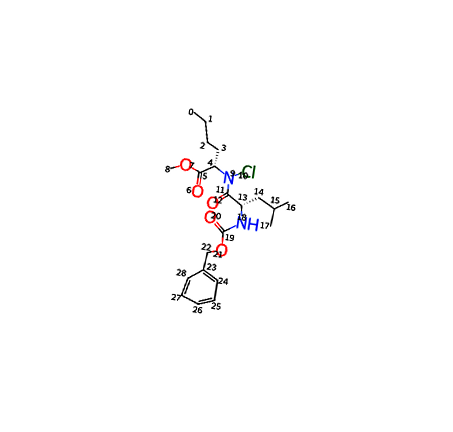 CCCC[C@@H](C(=O)OC)N(Cl)C(=O)[C@H](CC(C)C)NC(=O)OCc1ccccc1